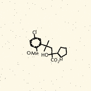 COc1ccc(Cl)cc1C(C)(C)CC(O)(C(=O)O)C1CCCC1